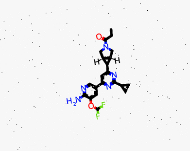 CCC(=O)N1C[C@@H]2C(c3cc(-c4cnc(N)c(OC(F)F)c4)nc(C4CC4)n3)[C@@H]2C1